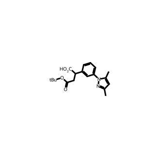 Cc1cc(C)n(-c2cccc(C(CC(=O)OC(C)(C)C)C(=O)O)c2)n1